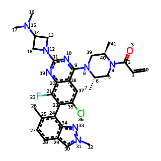 C=CC(=O)N1C[C@H](C)N(c2nc(N3CC(N(C)C)C3)nc3c(F)c(-c4c(C)ccc5cn(C)nc45)c(Cl)cc23)C[C@H]1C